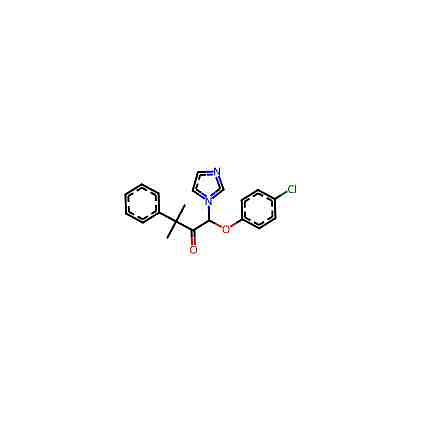 CC(C)(C(=O)C(Oc1ccc(Cl)cc1)n1ccnc1)c1ccccc1